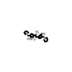 C/C(=C(/C)c1ccc(CN2CCCCC2)c(O)c1)c1ccc(CN2CCCCC2)c(O)c1